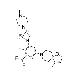 CC1=CCOC12CCN(c1cc(N3C[C@@H](N4CCNCC4)[C@H]3C)c(C)c(C(F)F)n1)CC2